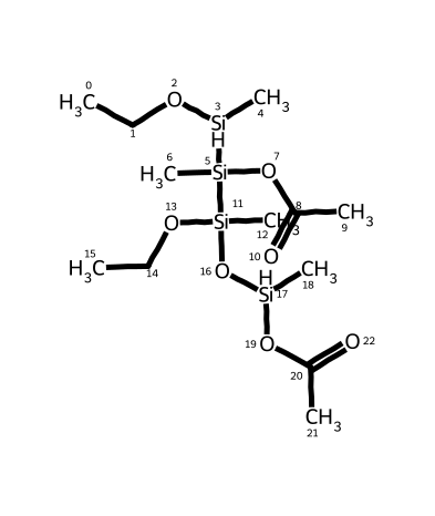 CCO[SiH](C)[Si](C)(OC(C)=O)[Si](C)(OCC)O[SiH](C)OC(C)=O